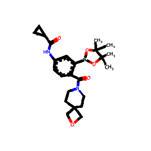 CC1(C)OB(c2cc(NC(=O)C3CC3)ccc2C(=O)N2CCC3(CC2)COC3)OC1(C)C